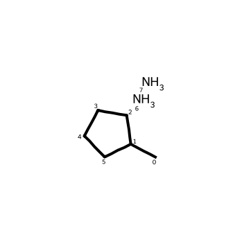 CC1CCCC1.N.N